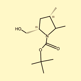 CC1[C@@H](C)C[C@@H](CO)N1C(=O)OC(C)(C)C